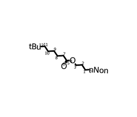 CCCCCCCCCCCCOC(=O)CCCCCC(C)(C)C